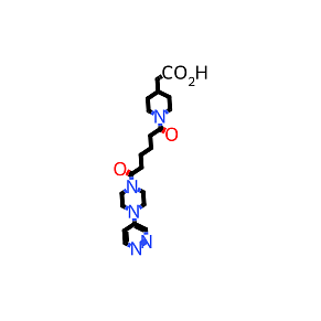 O=C(O)CC1CCN(C(=O)CCCCC(=O)N2CCN(c3ccnnc3)CC2)CC1